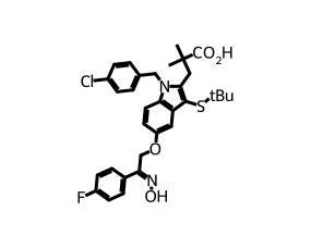 CC(C)(C)Sc1c(CC(C)(C)C(=O)O)n(Cc2ccc(Cl)cc2)c2ccc(OCC(=NO)c3ccc(F)cc3)cc12